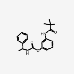 CC(NC(=O)Oc1cccc(NC(=O)C(C)(C)C)c1)c1ccccc1